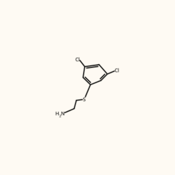 NCCSc1cc(Cl)cc(Cl)c1